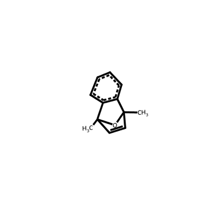 CC12C=CC(C)(O1)c1ccccc12